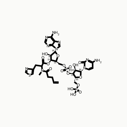 C=CCCC(=O)N(C)C(Cc1cscn1)C(=O)O[C@H]1[C@@H](O)[C@H](n2cnc3c(N)ncnc32)O[C@H]1COP(=O)(O)O[C@H]1[C@@H](O)[C@H](n2ccc(N)nc2=O)O[C@@H]1COP(=O)(O)O